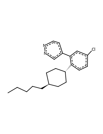 CCCCC[C@H]1CC[C@H](c2ccc(Cl)cc2-c2ccnnc2)CC1